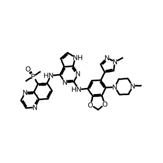 CN1CCN(c2c(-c3cnn(C)c3)cc(Nc3nc(Nc4ccc5nccnc5c4P(C)(C)=O)c4cc[nH]c4n3)c3c2OCO3)CC1